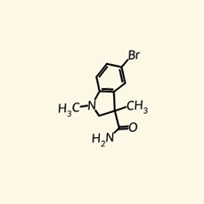 CN1CC(C)(C(N)=O)c2cc(Br)ccc21